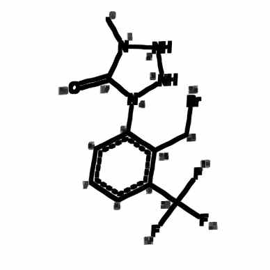 CN1NNN(c2cccc(C(F)(F)F)c2CBr)C1=O